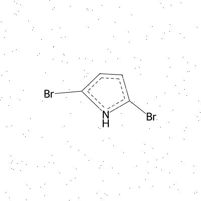 Brc1ccc(Br)[nH]1